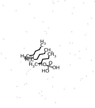 CCCCC.CCCCC.CCCCC.O=P(O)(O)O.[NaH]